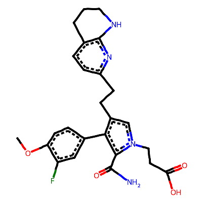 COc1ccc(-c2c(CCc3ccc4c(n3)NCCC4)cn(CCC(=O)O)c2C(N)=O)cc1F